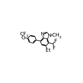 CCc1cc(-c2ccc(OC(F)(F)F)cc2)c2ncn(C)c2c1C(F)F